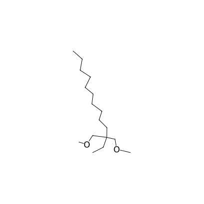 CCCCCCCCCCC(CC)(COC)COC